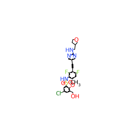 COc1c(CO)cc(Cl)cc1S(=O)(=O)Nc1ccc(F)c(C#Cc2cnc(NCC3CCOC3)nc2)c1F